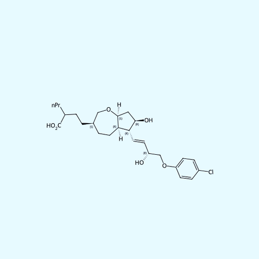 CCCC(CC[C@@H]1CC[C@@H]2[C@@H](C=C[C@@H](O)COc3ccc(Cl)cc3)[C@H](O)C[C@@H]2OC1)C(=O)O